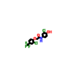 O=C(COc1ccc(C(F)(F)F)cc1Cl)Nc1ccc(O)c(Cl)c1